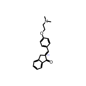 CN(C)CCOc1ccc(/C=C2\Cc3ccccc3C2=O)cc1